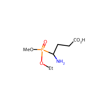 CCOP(=O)(OC)C(N)CCC(=O)O